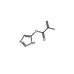 C=C(C)C(=O)Oc1cnc[nH]1